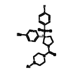 CCC(C)c1ccc([C@]2(S(=O)(=O)c3ccc(F)cc3)CCN(C(=O)N3CCN(C(C)=O)CC3)C2)cc1